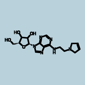 OC[C@H]1O[C@@H](n2cnc3c(NCCN4CC=CC4)ncnc32)C(O)C1O